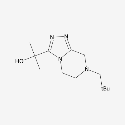 CC(C)(C)CN1CCn2c(nnc2C(C)(C)O)C1